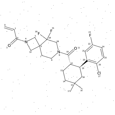 C=CC(=O)N1CC2(CCN(C(=O)[C@H]3CCC(C)(C)C[C@@H]3c3cc(F)ccc3Cl)CC2(F)F)C1